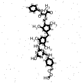 CC(=O)C(N=Nc1c(C)cc(Cc2cc(C)c(Nc3nc(O)nc(Nc4ccc(SOOO)cc4)n3)c(C)c2)cc1C)C(=O)Nc1ccccc1